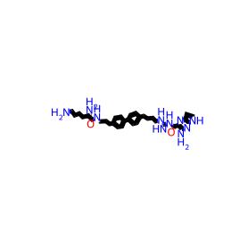 N=C(NCCCCc1ccc(-c2ccc(CCCNC(=O)[C@@H](N)CCCCN)cc2)cc1)NC(=O)c1nc2cc[nH]c2nc1N